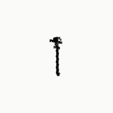 CCCCc1nc2c(N)nnc(OC(C)C)c2n1C[C@H]1CC[C@H](CNC(=O)C=COCCOCCOCCOCCOCCOCCOCCOCCN=[N+]=[N-])CC1